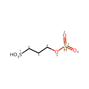 O=[SH](=O)OCCCS(=O)(=O)O